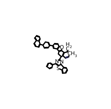 C=CC1=C(/C=C\C)C(c2nc(-c3ccccc3)c3sc4ccccc4c3n2)Cc2c1oc1ccc(C3=CCC(c4cccc5ccccc45)C=C3)cc21